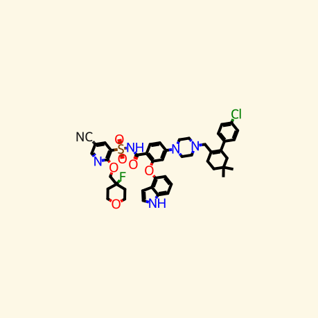 CC1(C)CCC(CN2CCN(c3ccc(C(=O)NS(=O)(=O)c4cc(C#N)cnc4OCC4(F)CCOCC4)c(Oc4cccc5[nH]ccc45)c3)CC2)=C(c2ccc(Cl)cc2)C1